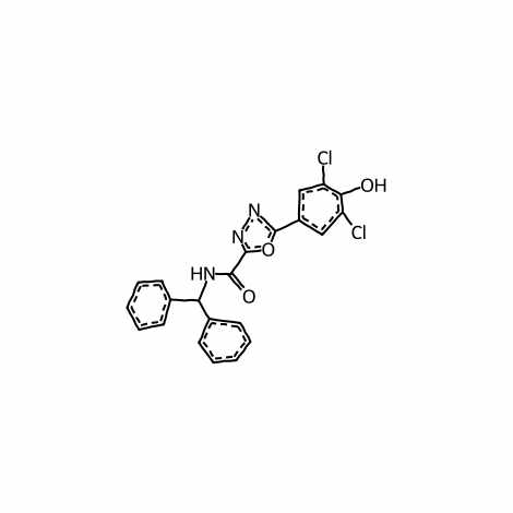 O=C(NC(c1ccccc1)c1ccccc1)c1nnc(-c2cc(Cl)c(O)c(Cl)c2)o1